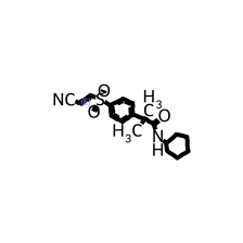 CC(C)(C(=O)NC1CCCCC1)c1ccc(S(=O)(=O)/C=C/C#N)cc1